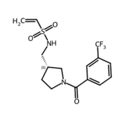 C=CS(=O)(=O)NC[C@H]1CCN(C(=O)c2cccc(C(F)(F)F)c2)C1